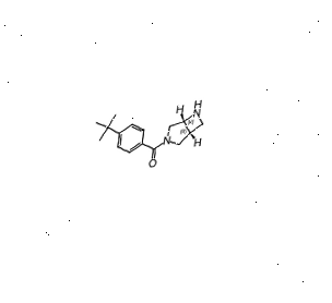 CC(C)(C)c1ccc(C(=O)N2C[C@H]3CN[C@H]3C2)cc1